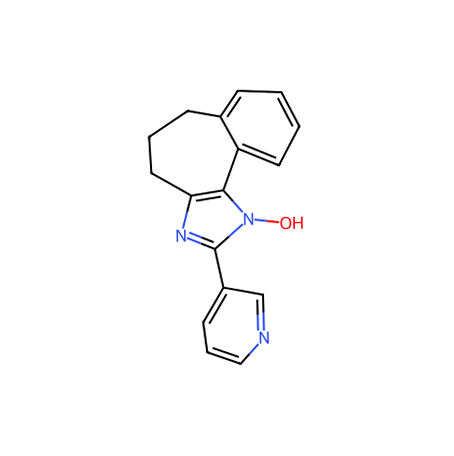 On1c(-c2cccnc2)nc2c1-c1ccccc1CCC2